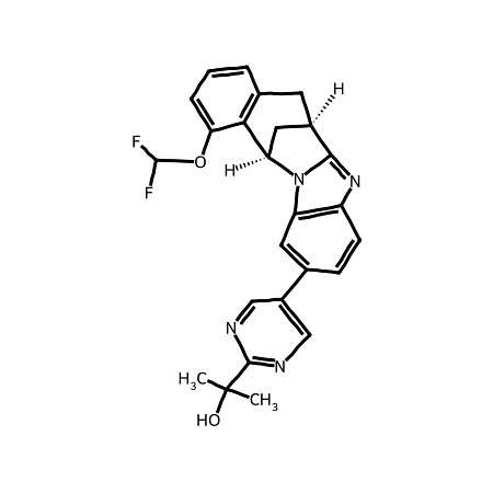 CC(C)(O)c1ncc(-c2ccc3nc4n(c3c2)[C@@H]2C[C@H]4Cc3cccc(OC(F)F)c32)cn1